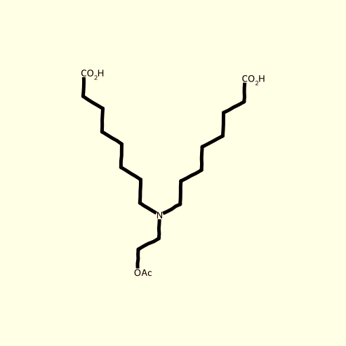 CC(=O)OCCN(CCCCCCCC(=O)O)CCCCCCCC(=O)O